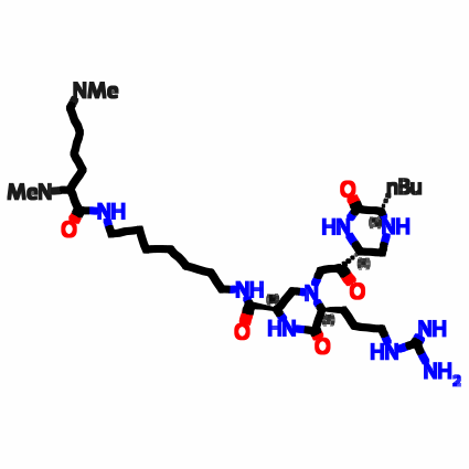 CCCC[C@@H]1NC[C@H](C(=O)CN2C[C@H](C(=O)NCCCCCCCNC(=O)C(CCCCNC)NC)NC(=O)[C@@H]2CCCNC(=N)N)NC1=O